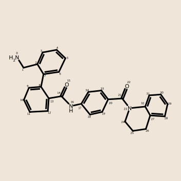 NCc1ccccc1-c1ccccc1C(=O)Nc1ccc(C(=O)N2CCCc3ccccc32)cc1